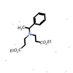 CCOC(=O)CCN(CCC(=O)OCC)C(C)c1ccccc1